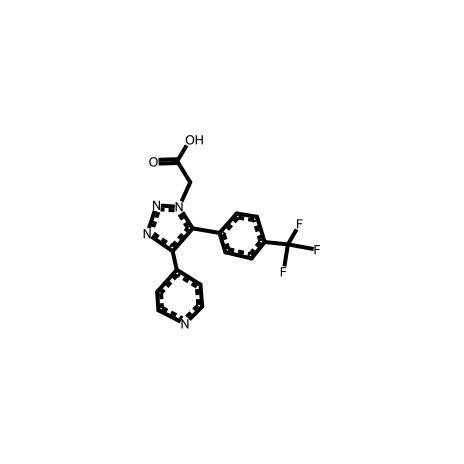 O=C(O)Cn1nnc(-c2ccncc2)c1-c1ccc(C(F)(F)F)cc1